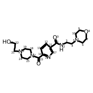 O=C(NCCN1CCOCC1)c1ccc(C(=O)N2CCN(CCO)CC2)nc1